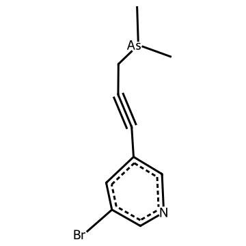 C[As](C)CC#Cc1cncc(Br)c1